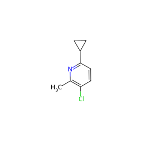 Cc1nc(C2CC2)ccc1Cl